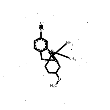 [C-]#[N+]c1ccc2c(c1)C1(N=C(N)N(C)C1=O)C1(CCC(OC)CC1)C2